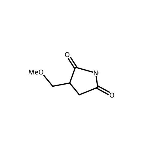 COCC1CC(=O)[N]C1=O